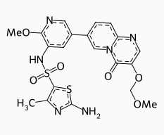 COCOc1cnc2ccc(-c3cnc(OC)c(NS(=O)(=O)c4sc(N)nc4C)c3)cn2c1=O